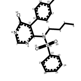 CCCCN(c1ncnc(Cl)c1-c1ccc(C)cc1)S(=O)(=O)c1ccccc1